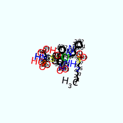 CCCCCCCCSC(=O)Oc1cc(Cl)nnc1-c1ccccc1.C[S+](C)C.Nc1c([N+](=O)[O-])ccc(Oc2ccccc2)c1Cl.O=C(O)CNCP(=O)([O-])O